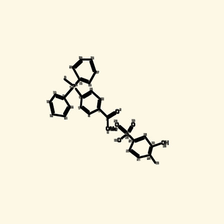 COC(=O)c1ccc([P+](C)(c2ccccc2)c2ccccc2)cc1.Cc1ccc(S(=O)(=O)[O-])cc1O